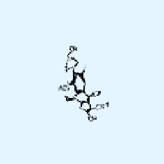 COc1c(N2CCN(CC#N)CC2)c(F)cc2c(=O)c3c(O)c(C#N)sc3n(C3CC3)c12